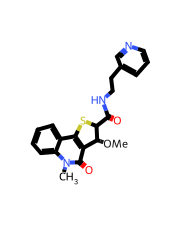 COC1c2c(c3ccccc3n(C)c2=O)SC1C(=O)NCCc1cccnc1